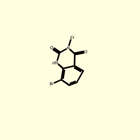 CCn1c(=O)[nH]c2c(Br)cccc2c1=O